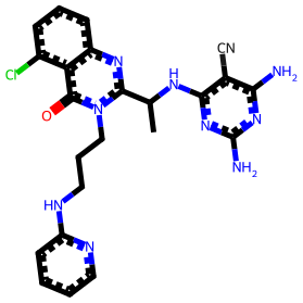 CC(Nc1nc(N)nc(N)c1C#N)c1nc2cccc(Cl)c2c(=O)n1CCCNc1ccccn1